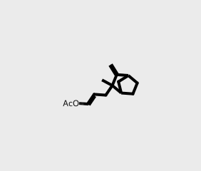 C=C1C2CCC(C2)C1(C)C/C=C/OC(C)=O